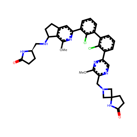 COc1nc(-c2cccc(-c3cccc(-c4cc5c(c(OC)n4)C(NC[C@H]4CCC(=O)N4)CC5)c3Cl)c2Cl)cnc1CN1CC2(CCC(=O)N2)C1